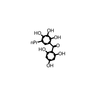 CCCc1cc(C(=O)c2c(O)cc(O)cc2O)c(O)c(O)c1O